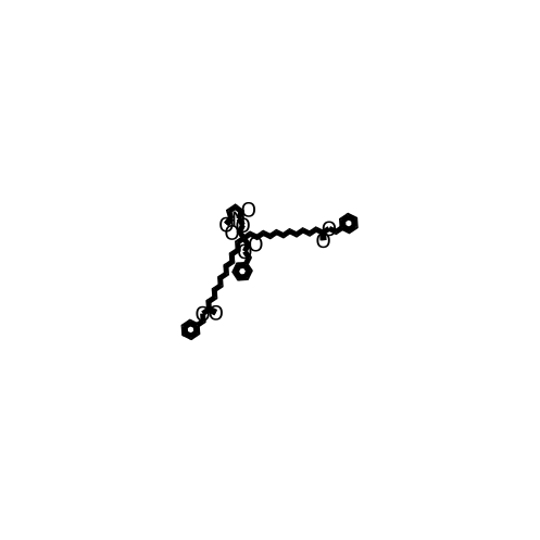 O=C(CCCCCCCCCCCC(CCCCCCCCCCCC(=O)OCc1ccccc1)(C(=O)OCc1ccccc1)C(=O)ON1C(=O)CCC1=O)OCc1ccccc1